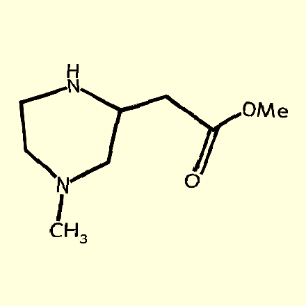 COC(=O)CC1CN(C)CCN1